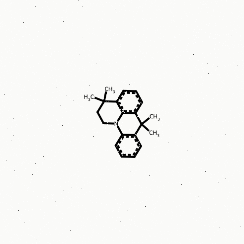 CC1(C)CCN2c3ccccc3C(C)(C)c3cccc1c32